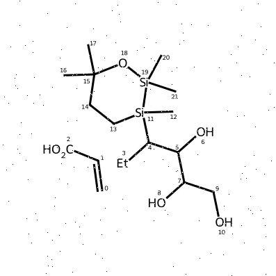 C=CC(=O)O.CCC(C(O)C(O)CO)[Si]1(C)CCC(C)(C)O[Si]1(C)C